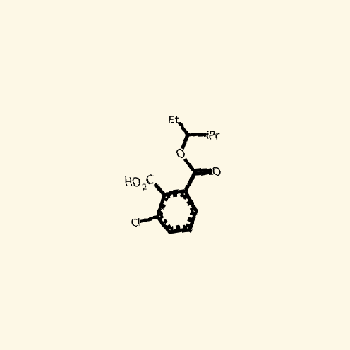 CCC(OC(=O)c1cccc(Cl)c1C(=O)O)C(C)C